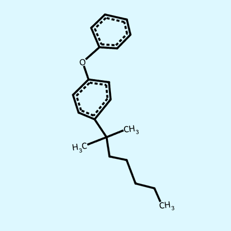 CCCCCC(C)(C)c1ccc(Oc2ccccc2)cc1